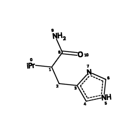 CC(C)C(Cc1c[nH]cn1)C(N)=O